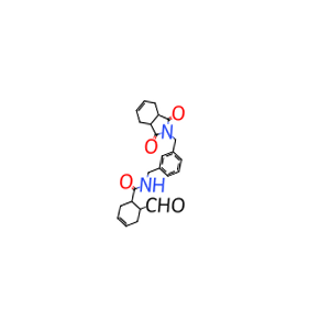 O=CC1CC=CCC1C(=O)NCc1cccc(CN2C(=O)C3CC=CCC3C2=O)c1